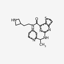 CC(Nc1nc(C(=O)NCCC2CNC2)c2sccc2n1)c1ccccn1